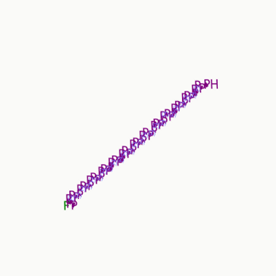 FP(#P)\P=P/P=P\P=P/P=P\P=P/P=P\P=P/P=P\P=P/P=P\P=P/P=P\P=P/P=P\P=P/P=P\P=P/P=P\P=P/P=P\P=P/P=P\P=P/P=P\P=P/P=P